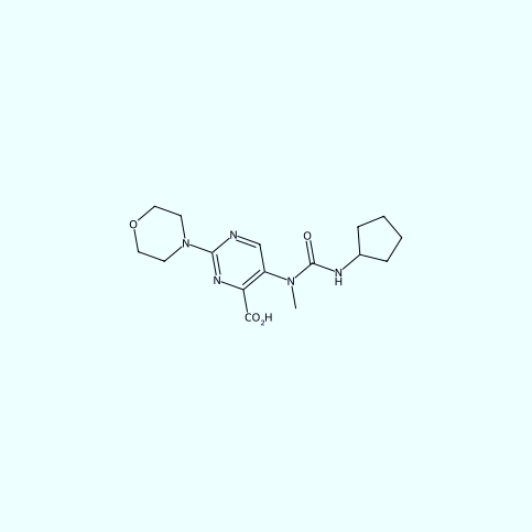 CN(C(=O)NC1CCCC1)c1cnc(N2CCOCC2)nc1C(=O)O